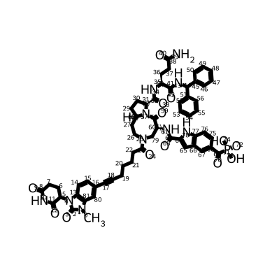 Cn1c(=O)n(C2CCC(=O)NC2=O)c2ccc(C#CCCCCC(=O)N3CC[C@H]4CC[C@@H](C(=O)N[C@@H](CCC(N)=O)C(=O)NC(c5ccccc5)c5ccccc5)N4C(=O)[C@@H](NC(=O)c4cc5cc(C(=O)P(=O)(O)O)ccc5[nH]4)C3)cc21